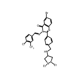 CCN1CC(NCc2ccc(-c3nc4ccc(Br)cc4c(=O)n3N=Cc3ccc(Cl)c(C(F)(F)F)c3)cc2)CN1CC